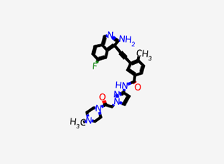 Cc1ccc(C(=O)Nc2ccn(CC(=O)N3CCN(C)CC3)n2)cc1C#Cc1c(N)ncc2ccc(F)cc12